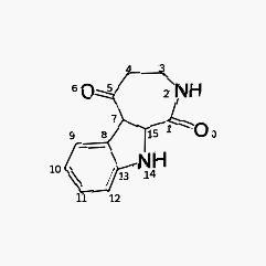 O=C1NCCC(=O)C2c3ccccc3NC12